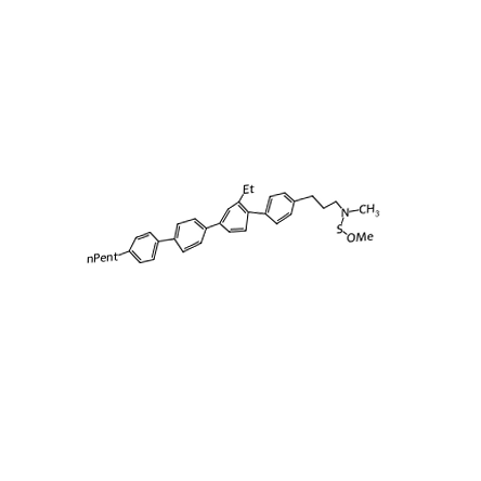 CCCCCc1ccc(-c2ccc(-c3ccc(-c4ccc(CCCN(C)SOC)cc4)c(CC)c3)cc2)cc1